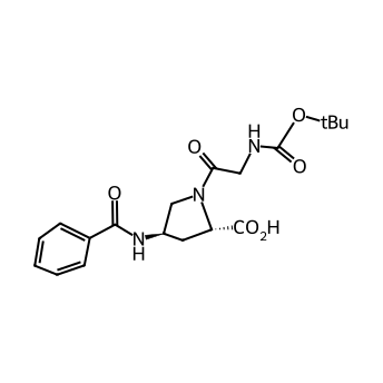 CC(C)(C)OC(=O)NCC(=O)N1C[C@H](NC(=O)c2ccccc2)C[C@H]1C(=O)O